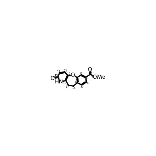 COC(=O)c1ccc2c(c1)Oc1ccc(=O)[nH]c1CC2